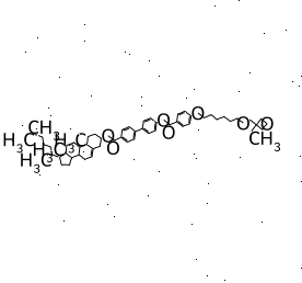 CCC1(COCCCCCCOc2ccc(C(=O)Oc3ccc(-c4ccc(C(=O)OC5CCC6(C)C(=CCC7C6CCC6(C)C(C(C)CCCC(C)C)CCC76)C5)cc4)cc3)cc2)COC1